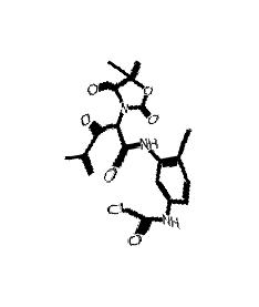 C=C(C)C(=O)C(C(=O)Nc1cc(NC(=O)Cl)ccc1C)N1C(=O)OC(C)(C)C1=O